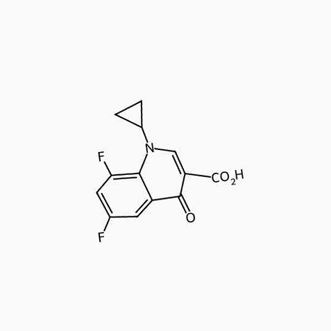 O=C(O)c1cn(C2CC2)c2c(F)cc(F)cc2c1=O